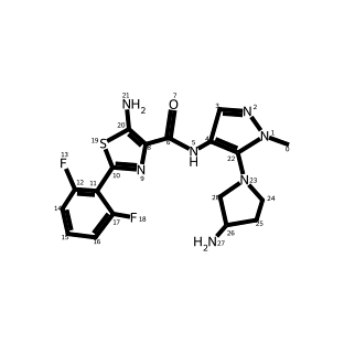 Cn1ncc(NC(=O)c2nc(-c3c(F)cccc3F)sc2N)c1N1CCC(N)C1